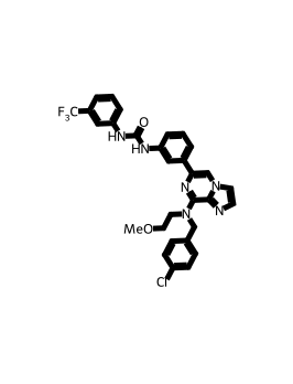 COCCN(Cc1ccc(Cl)cc1)c1nc(-c2cccc(NC(=O)Nc3cccc(C(F)(F)F)c3)c2)cn2ccnc12